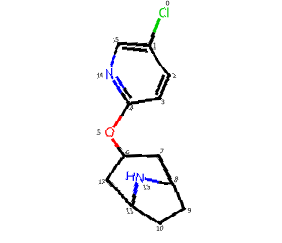 Clc1ccc(OC2CC3CCC(C2)N3)nc1